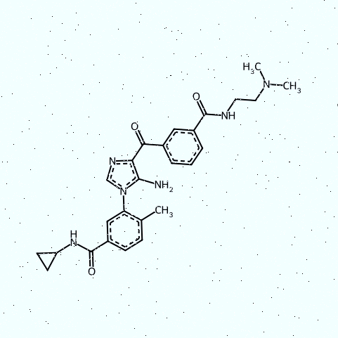 Cc1ccc(C(=O)NC2CC2)cc1-n1cnc(C(=O)c2cccc(C(=O)NCCN(C)C)c2)c1N